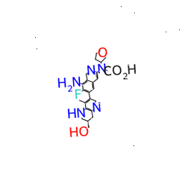 Cc1c(-c2cc3cc(N(C(=O)O)[C@H]4CCOC4)ncc3c(N)c2F)cnc2c1NC[C@H](CO)C2